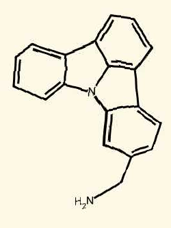 NCc1ccc2c3cccc4c5ccccc5n(c2c1)c43